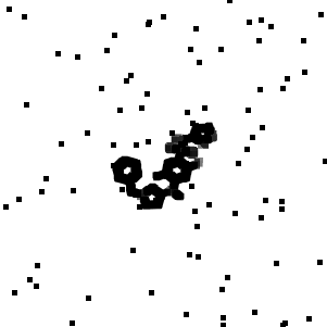 Cc1cc(S(=O)(=O)Nc2ccsn2)c(F)cc1N(C)[C@H]1CCN(Cc2ccccc2)C1